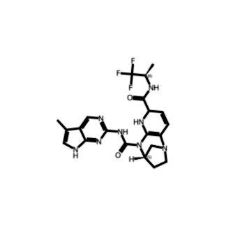 Cc1c[nH]c2nc(NC(=O)N3C4=C(C=CC(C(=O)N[C@H](C)C(F)(F)F)N4)N4CC[C@H]3C4)ncc12